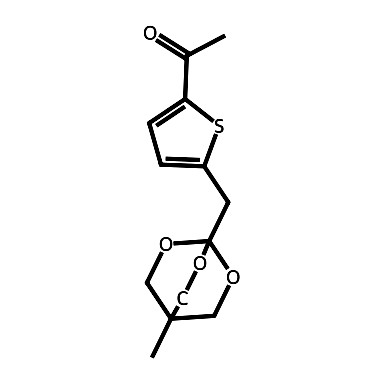 CC(=O)c1ccc(CC23OCC(C)(CO2)CO3)s1